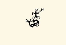 O=C1OC2(OC(=O)C(F)(F)S(=O)(=O)O)CC3OC2CC13